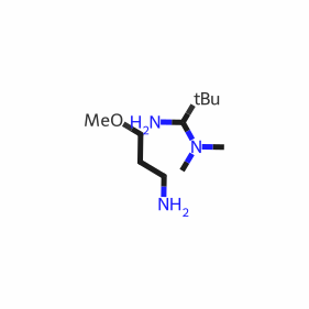 CN(C)C(N)C(C)(C)C.COCCCN